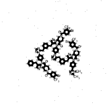 Cc1nnc(-c2ccc(-n3c(=O)c4c(n5ncc(Cc6cccc(Cc7cnnn7-c7ccc(-n8c(=O)c9c(n%10ncc(Cc%11cccc(Cc%12ncnn%12-c%12ccc(-n%13c(=O)c%14c(n%15ncc(Cc%16ccccc%16)c%13%15)CN(C(=O)c%13ccc(Br)c(C(F)(F)F)c%13)CC%14)cc%12)c%11)c8%10)CN(C(=O)c8ccc(Br)c(C(F)(F)F)c8)CC9)cc7)c6)c35)CN(C(=O)c3ccc(Br)c(C(F)(F)F)c3)CC4)cc2)n1C